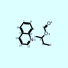 CCC(C)OC=O.c1ccc2ncccc2c1